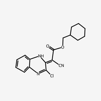 N#C/C(C(=O)OCC1CCCCC1)=C1/Nc2ccccc2N=C1Cl